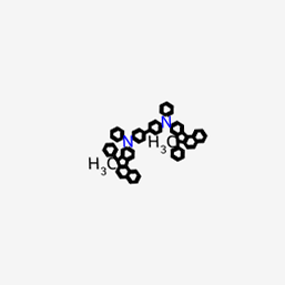 CC1(c2ccccc2)c2cc(N(c3ccccc3)c3ccc(-c4ccc(N(c5ccccc5)c5ccc6c(c5)C(C)(c5ccccc5)c5ccc7ccccc7c5-6)cc4)cc3)ccc2-c2c1ccc1ccccc21